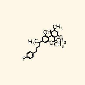 CC1CC(=O)C2=C(C1)c1c(O)cc(C(C)CCCc3ccc(F)cc3)cc1OC2(C)C